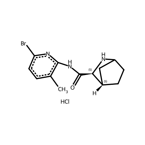 Cc1ccc(Br)nc1NC(=O)[C@H]1NC2CC[C@H]1C2.Cl